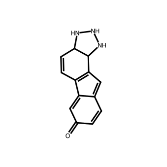 O=C1C=CC2=CC3=C(C=CC4NNNC34)C2=C1